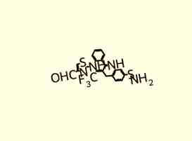 N=C(/C(Cc1ccc(SN)cc1)=C(\Nc1nc(C=O)cs1)C(F)(F)F)c1ccccc1